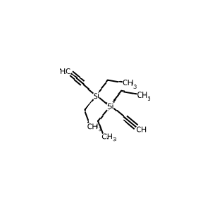 C#C[Si](CC)(CC)[Si](C#C)(CC)CC